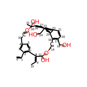 C=Cc1cc2ccc1/C(=C\C)C(O)OCCc1c(CO)ccc3c(CO)c(ccc13)C(C)(O)OCC2